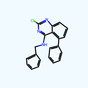 Clc1nc(NCc2ccccc2)c2c(-c3ccccc3)cccc2n1